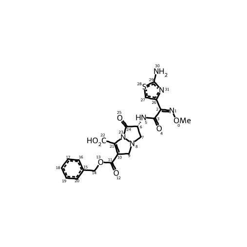 CO/N=C(\C(=O)N[C@@H]1CN2CC(C(=O)OCc3ccccc3)=C(C(=O)O)N2C1=O)c1csc(N)n1